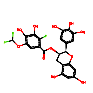 O=C(O[C@@H]1Cc2c(O)cc(O)cc2O[C@H]1c1cc(O)c(O)c(O)c1)c1cc(OC(F)F)c(O)c(O)c1F